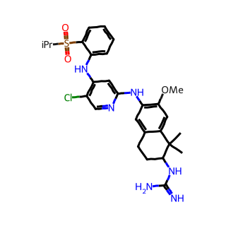 COc1cc2c(cc1Nc1cc(Nc3ccccc3S(=O)(=O)C(C)C)c(Cl)cn1)CCC(NC(=N)N)C2(C)C